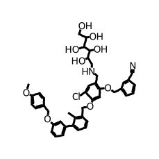 COc1ccc(COc2cccc(-c3cccc(COc4cc(OCc5cccc(C#N)c5)c(CNCC(O)C(O)C(O)C(O)CO)cc4Cl)c3C)c2)cc1